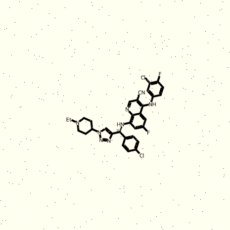 CCN1CCC(n2cc([C@@H](Nc3cc(F)cc4c(Nc5ccc(F)c(Cl)c5)c(C#N)cnc34)c3ccc(Cl)cc3)nn2)CC1